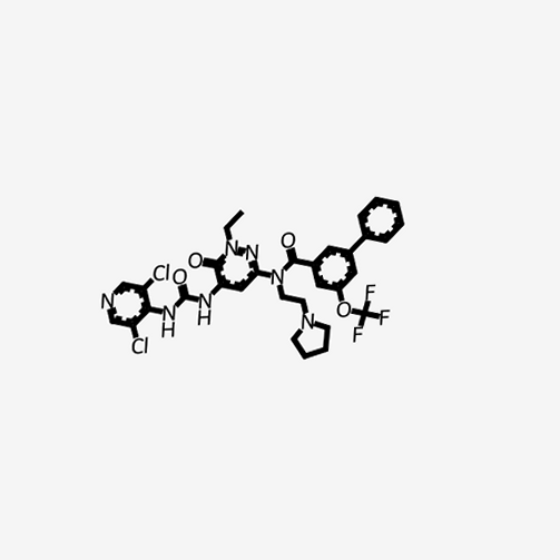 CCn1nc(N(CCN2CCCC2)C(=O)c2cc(OC(F)(F)F)cc(-c3ccccc3)c2)cc(NC(=O)Nc2c(Cl)cncc2Cl)c1=O